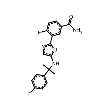 CC(C)(Nc1cnc(-c2cc(C(N)=O)ccc2F)o1)c1ccc(F)cc1